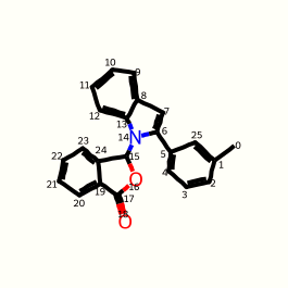 Cc1cccc(-c2cc3ccccc3n2C2OC(=O)c3ccccc32)c1